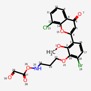 COc1c(-c2cc(=O)c3cccc(Cl)c3o2)ccc(Br)c1OCCCNOC(=O)C=O